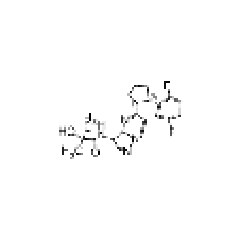 CC(C)(O)C(=O)NC1C=NN2C=CC(N3CCC[C@@H]3c3cc(F)ccc3F)=NC12